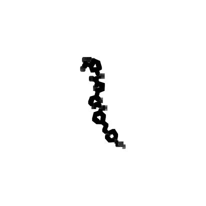 COC(=O)c1cccc(NC(=O)c2ccc(-c3ccnc(Nc4cccc(CCN5CCN(C)CC5)c4)n3)s2)c1